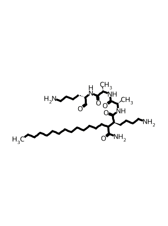 CCCCCCCCCCCCCCC(C(N)=O)[C@H](CCCCN)C(=O)N[C@@H](C)C(=O)N[C@@H](C)C(=O)N[C@H](C=O)CCCCN